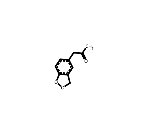 CC(=O)Cc1ccc2c(c1)COO2